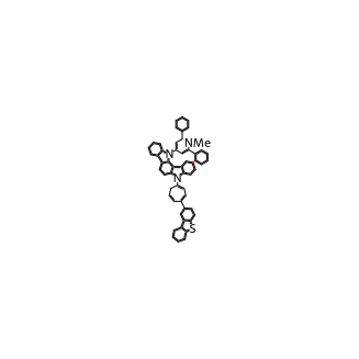 CN/C(=C\C(=C/Cc1ccccc1)n1c2ccccc2c2ccc3c(c4ccccc4n3C3=CC=C(c4ccc5sc6ccccc6c5c4)C=CC3)c21)c1ccccc1